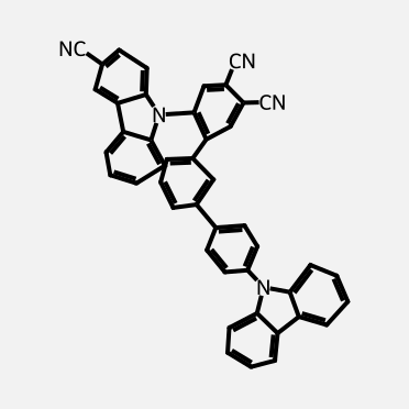 N#Cc1ccc2c(c1)c1ccccc1n2-c1cc(C#N)c(C#N)cc1-c1cccc(-c2ccc(-n3c4ccccc4c4ccccc43)cc2)c1